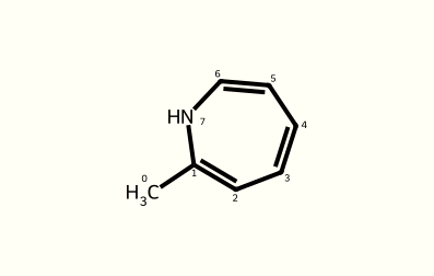 CC1=CC=CC=CN1